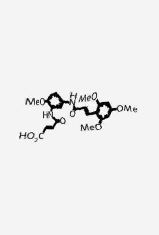 COc1cc(OC)c(/C=C/C(=O)Nc2ccc(OC)c(NC(=O)/C=C/C(=O)O)c2)c(OC)c1